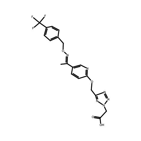 C/C(=N\OCc1ccc(C(F)(F)F)cc1)c1ccc(OCc2nnn(CC(=O)O)n2)nc1